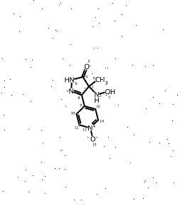 CC1(NO)C(=O)NN=C1c1cc[n+]([O-])cc1